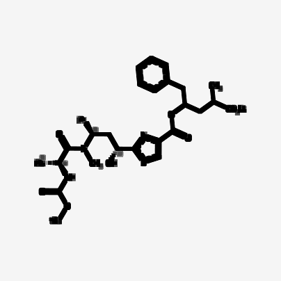 CCOC(=O)C(C)CC(Cc1ccccc1)OC(=O)c1csc([C@H](O)C[C@H](C(C)C)N(C)C(=O)[C@@H](NC(=O)OC(C)(C)C)[C@@H](C)CC)n1